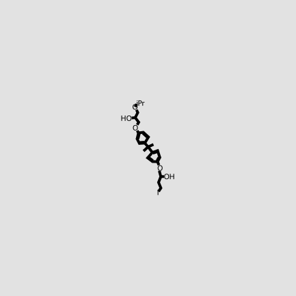 CC(C)OCC(O)COc1ccc(C(C)(C)c2ccc(OCC(O)CCI)cc2)cc1